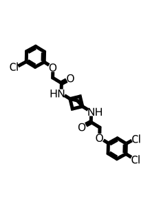 O=C(COc1cccc(Cl)c1)NC12CC(NC(=O)COc3ccc(Cl)c(Cl)c3)(C1)C2